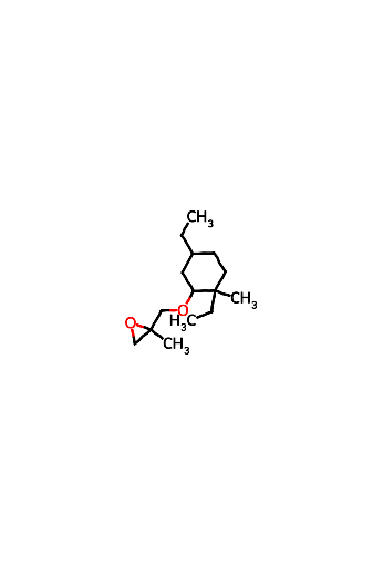 CCC1CCC(C)(CC)C(OCC2(C)CO2)C1